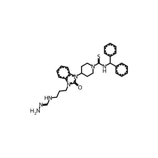 NN=CNCCCn1c(=O)n(C2CCN(C(=S)NC(c3ccccc3)c3ccccc3)CC2)c2ccccc21